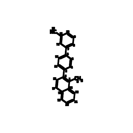 Cc1c(-c2ccc(-c3cccc(C#N)c3)cc2)ccc2ccccc12